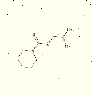 CC(O)CSC(=S)N1CCCCC1